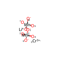 [Cr+3].[Li+].[O]=[Mn](=[O])([O-])[O-].[O]=[Mn](=[O])([O-])[O-]